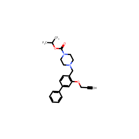 C#CCOc1cc(-c2ccccc2)ccc1CN1CCN(C(=O)OC(C(F)(F)F)C(F)(F)F)CC1